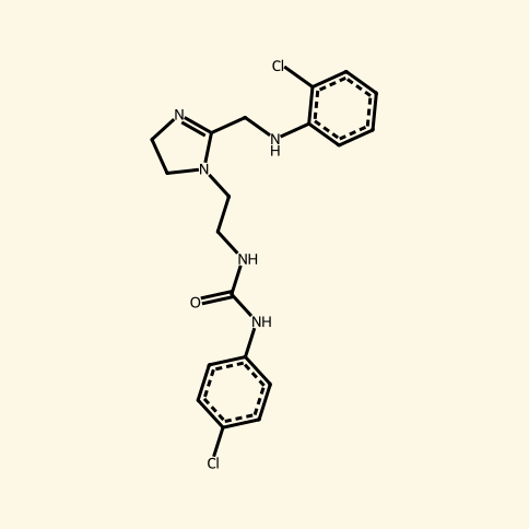 O=C(NCCN1CCN=C1CNc1ccccc1Cl)Nc1ccc(Cl)cc1